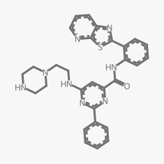 O=C(Nc1ccccc1-c1nc2cccnc2s1)c1cc(NCCN2CCNCC2)nc(-c2ccccc2)n1